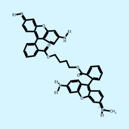 CCN=c1ccc2c(-c3ccccc3C(=O)OCCCCOC(=O)c3ccccc3-c3c4cc/c(=[N+](\C)CC)cc-4oc4cc(N(CC)CC)ccc34)c3ccc(NCC)cc3oc-2c1